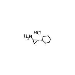 Cl.N[C@@H]1C[C@H]1C1CCCCC1